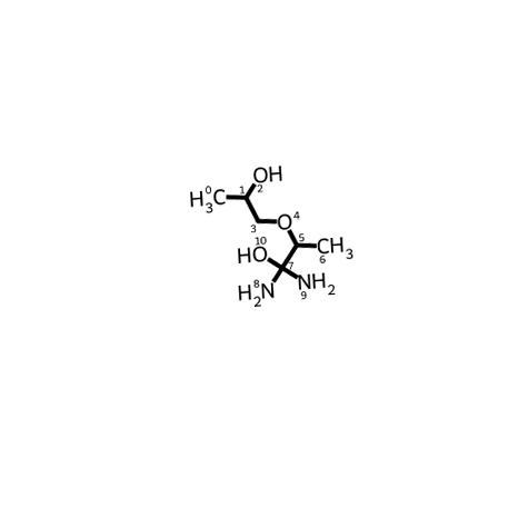 CC(O)COC(C)C(N)(N)O